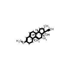 C#C[C@]1(O)[C@@H](C)C[C@H]2[C@@H]3CC=C4C=C(OC)CC[C@]4(C)C3=CC[C@@]21C